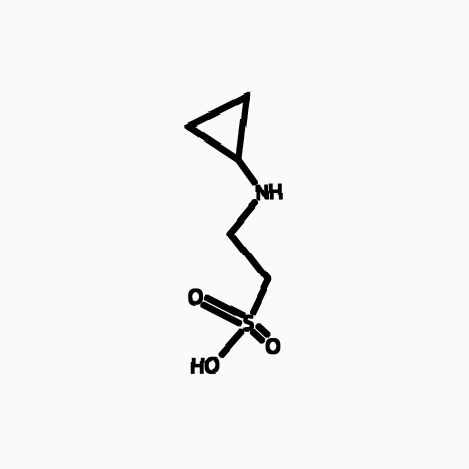 O=S(=O)(O)CCNC1CC1